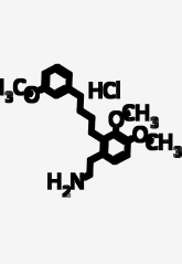 COc1cccc(CCCCc2c(CCN)ccc(OC)c2OC)c1.Cl